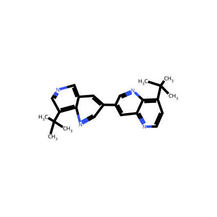 CC(C)(C)c1cncc2cc(-c3cnc4c(C(C)(C)C)ccnc4c3)cnc12